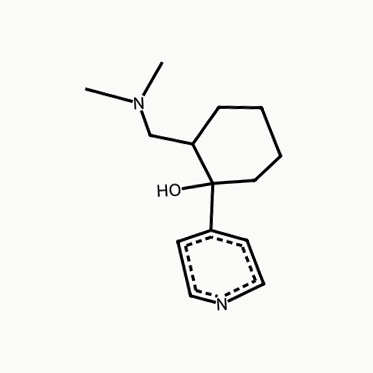 CN(C)CC1CCCCC1(O)c1ccncc1